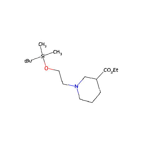 CCOC(=O)C1CCCN(CCO[Si](C)(C)C(C)(C)C)C1